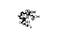 CC(Cn1ccc2[nH]c(N)nc(=O)c21)c1ccc(C(=O)N[C@@H](CCC(=O)O)C(=O)O)o1